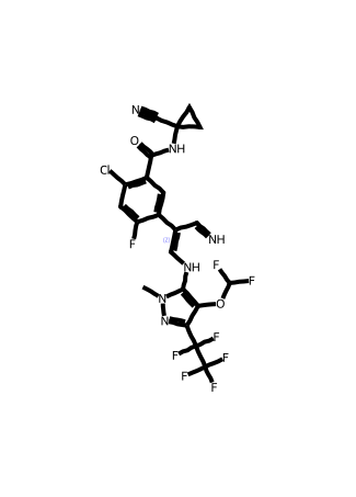 Cn1nc(C(F)(F)C(F)(F)F)c(OC(F)F)c1N/C=C(\C=N)c1cc(C(=O)NC2(C#N)CC2)c(Cl)cc1F